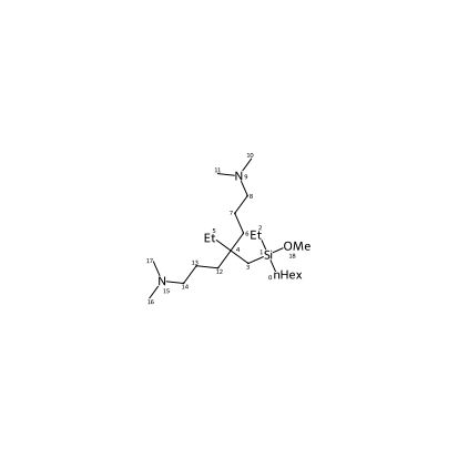 CCCCCC[Si](CC)(CC(CC)(CCCN(C)C)CCCN(C)C)OC